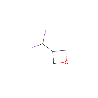 IC(I)C1COC1